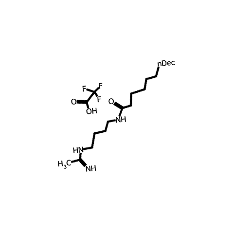 CCCCCCCCCCCCCCCC(=O)NCCCCNC(C)=N.O=C(O)C(F)(F)F